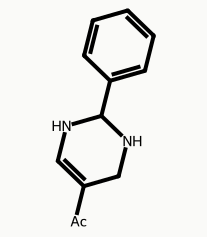 CC(=O)C1=CNC(c2ccccc2)NC1